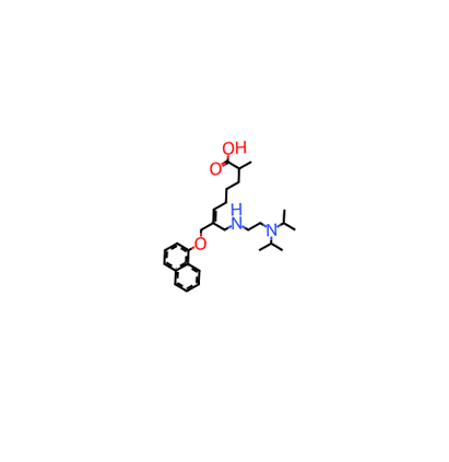 CC(CCCC=C(CNCCN(C(C)C)C(C)C)COc1cccc2ccccc12)C(=O)O